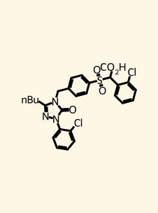 CCCCc1nn(-c2ccccc2Cl)c(=O)n1Cc1ccc(S(=O)(=O)C(C(=O)O)c2ccccc2Cl)cc1